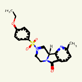 CCOc1ccc(S(=O)(=O)N2CCN3C(=O)c4ccc(C)nc4[C@H]3C2)cc1